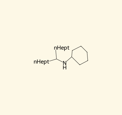 CCCCCCCC(CCCCCCC)NC1CCCCC1